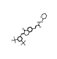 O=C(/C=C/c1ccc2c(c1)CC/C(=C\c1cc(C(F)(F)F)cc(C(F)(F)F)c1)C2=O)NOC1CCCCO1